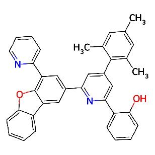 Cc1cc(C)c(-c2cc(-c3cc(-c4ccccn4)c4oc5ccccc5c4c3)nc(-c3ccccc3O)c2)c(C)c1